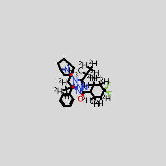 [2H]C([2H])([2H])c1nnc(C([2H])(C)C([2H])([2H])[2H])n1C1CC2CCC(C1)N2CCC(NC(=O)C1C([2H])([2H])C([2H])([2H])C(F)(F)C([2H])([2H])C1([2H])[2H])c1ccccc1